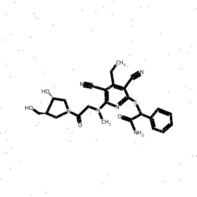 CCc1c(C#N)c(SC(C(N)=O)c2ccccc2)nc(N(C)CC(=O)N2C[C@@H](CO)[C@H](O)C2)c1C#N